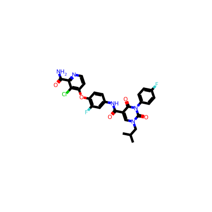 CC(C)Cn1cc(C(=O)Nc2ccc(Oc3ccnc(C(N)=O)c3Cl)c(F)c2)c(=O)n(-c2ccc(F)cc2)c1=O